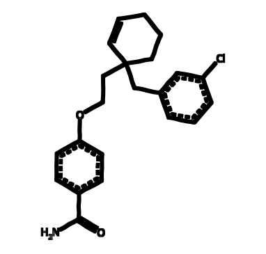 NC(=O)c1ccc(OCCC2(Cc3cccc(Cl)c3)C=CCCC2)cc1